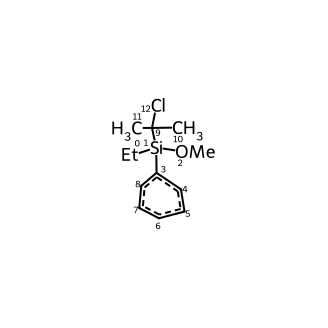 CC[Si](OC)(c1ccccc1)C(C)(C)Cl